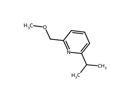 COCc1cccc(C(C)C)n1